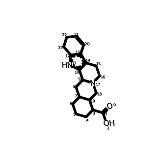 O=C(O)C1CCCC2CC3c4[nH]c5c(c4CCN3CC21)C=CCC5